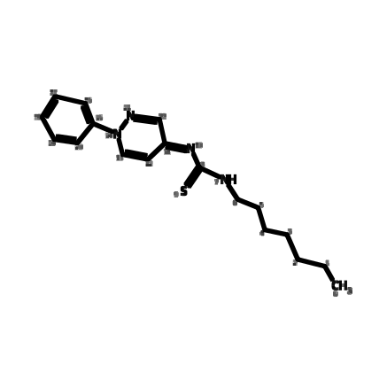 CCCCCCCNC(=S)N=c1ccn(-c2ccccc2)nc1